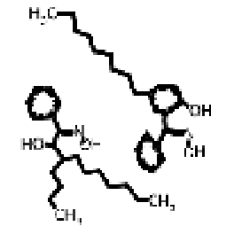 CCCCCCCC(CCCC)C(O)C(=NO)c1ccccc1.CCCCCCCCCc1ccc(O)c(C(=NO)c2ccccc2)c1